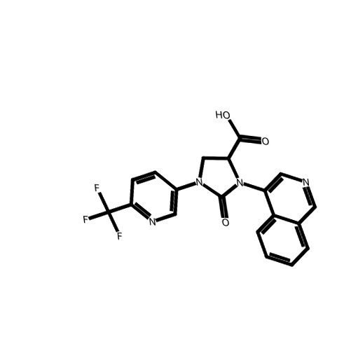 O=C(O)C1CN(c2ccc(C(F)(F)F)nc2)C(=O)N1c1cncc2ccccc12